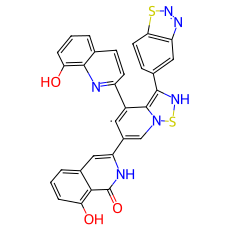 O=c1[nH]c(C2=CN3SNC(c4ccc5snnc5c4)=C3C(c3ccc4cccc(O)c4n3)=[C]2)cc2cccc(O)c12